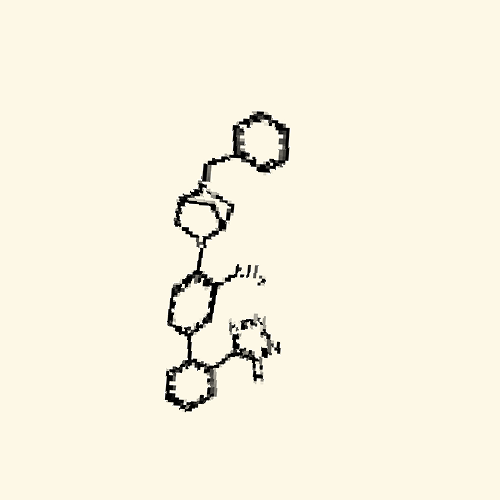 Nc1cc(-c2ccccc2-c2nnn[nH]2)ccc1N1CC2CC1CN2Cc1ccccc1